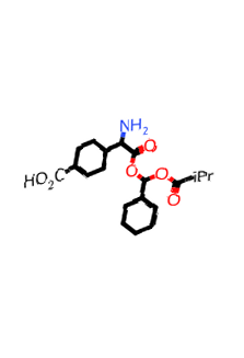 CC(C)C(=O)OC(OC(=O)C(N)C1CCC(C(=O)O)CC1)C1CCCCC1